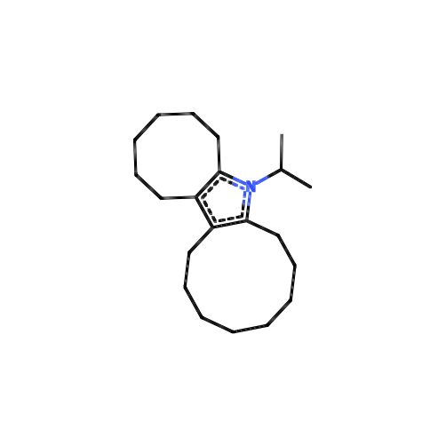 CC(C)n1c2c(c3c1CCCCCC3)CCCCCCCC2